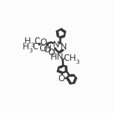 C[C@H](Nc1cnc(-c2ccccc2)n(CC(=O)OC(C)(C)C)c1=O)c1ccc2oc3ccccc3c2c1